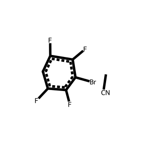 CC#N.Fc1cc(F)c(F)c(Br)c1F